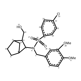 COc1ccc(CN(C2C3CCC(C3)C2CO)S(=O)(=O)c2ccc(Cl)cc2)cc1OC